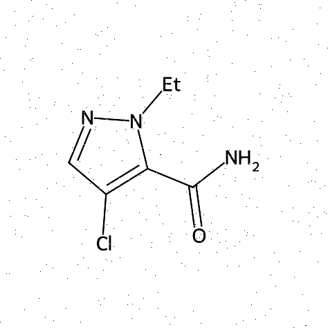 CCn1ncc(Cl)c1C(N)=O